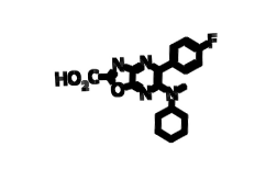 CN(c1nc2oc(C(=O)O)nc2nc1-c1ccc(F)cc1)C1CCCCC1